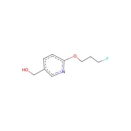 OCc1ccc(OCCCF)nc1